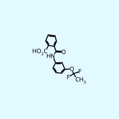 CC(F)(F)Oc1cccc(NC(=O)c2ccccc2C(=O)O)c1